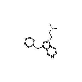 CN(C)CCn1cc(Cc2ccccc2)c2cnccc21